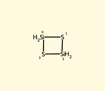 [SiH2]1S[SiH2]S1